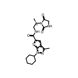 Cc1nn(C2CCCCC2)c2sc(C(=O)NC[C@@H](C)N3C(=O)CNC3=O)cc12